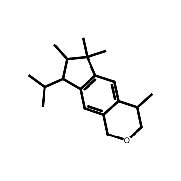 CC1COCc2cc3c(cc21)C(C)(C)C(C)C3C(C)C